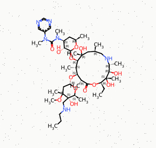 CCCNC[C@]1(O)[C@H](C)O[C@@H](O[C@H]2[C@H](C)[C@@H](O[C@@H]3O[C@H](C)C[C@H](N(C)C(=O)N(C)c4cncnc4)[C@H]3O)[C@](C)(O)C[C@@H](C)CN[C@H](C)[C@@H](O)[C@](C)(O)[C@@H](CC)OC(=O)[C@@H]2C)C[C@@]1(C)OC